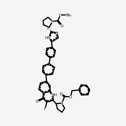 CC(C)(C)OC(=O)N1CCC[C@H]1c1ncc(-c2ccc(-c3ccc(-c4ccc5c(=O)c(F)c(C6CCCN6C(=O)OCc6ccccc6)[nH]c5c4)cc3)cc2)[nH]1